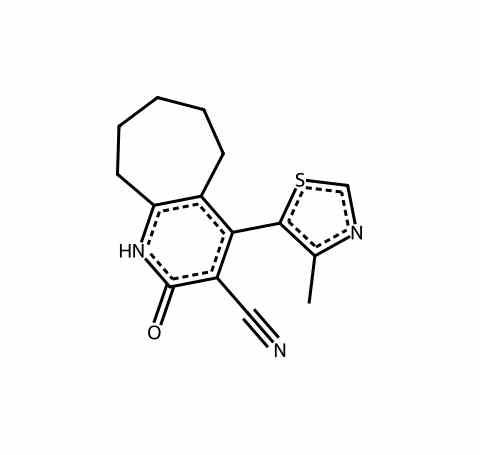 Cc1ncsc1-c1c2c([nH]c(=O)c1C#N)CCCCC2